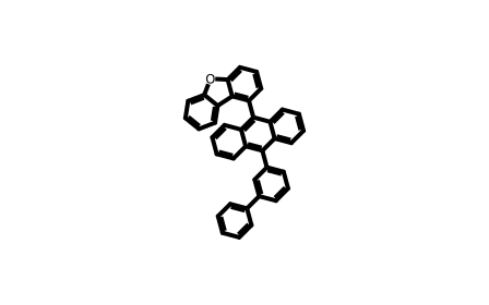 c1ccc(-c2cccc(-c3c4ccccc4c(-c4cccc5oc6ccccc6c45)c4ccccc34)c2)cc1